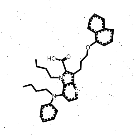 CCCCN(c1ccccc1)c1cccc2c(CCCOc3cccc4ccccc34)c(C(=O)O)n(CCCC)c12